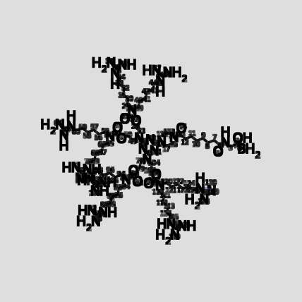 B[C@H](O)CNC(=O)CCCCCCC(=O)N1CCN(c2nc(N(CCOC(=O)N(CCCCCCNC(=N)N)CCCCCCNC(=N)N)CCOC(=O)N(CCCCCCNC(=N)N)CCCCCCNC(=N)N)nc(N(CCOC(=O)N(CCCCCCNC(=N)N)CCCCCCNC(=N)N)CCOC(=O)N(CCCCCCNC(=N)N)CCCCCCN/C(N)=N\C)n2)CC1